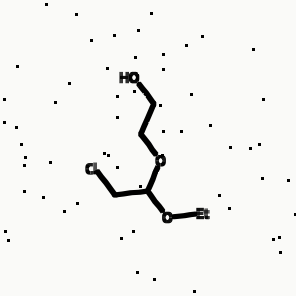 CCOC(CCl)OCCO